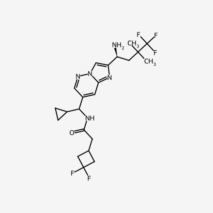 CC(C)(C[C@H](N)c1cn2ncc(C(NC(=O)CC3CC(F)(F)C3)C3CC3)cc2n1)C(F)(F)F